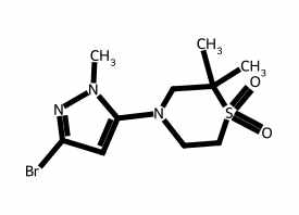 Cn1nc(Br)cc1N1CCS(=O)(=O)C(C)(C)C1